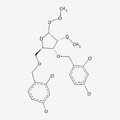 COOC1O[C@H](COCc2ccc(Cl)cc2Cl)[C@@H](OCc2ccc(Cl)cc2Cl)[C@H]1OC